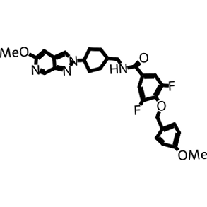 COc1ccc(COc2c(F)cc(C(=O)NCC3CCC(n4cc5cc(OC)ncc5n4)CC3)cc2F)cc1